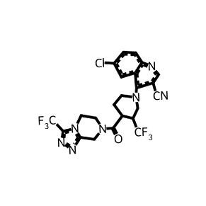 N#Cc1cnc2ccc(Cl)cc2c1N1CCC(C(=O)N2CCn3c(nnc3C(F)(F)F)C2)C(C(F)(F)F)C1